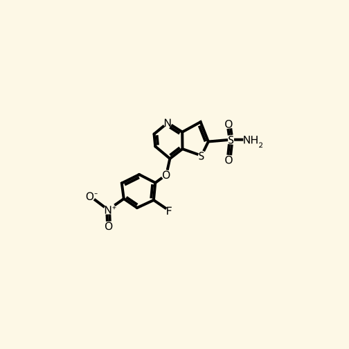 NS(=O)(=O)c1cc2nccc(Oc3ccc([N+](=O)[O-])cc3F)c2s1